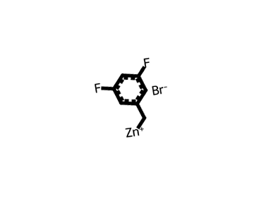 Fc1cc(F)cc([CH2][Zn+])c1.[Br-]